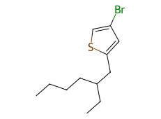 CCCCC(CC)Cc1cc(Br)cs1